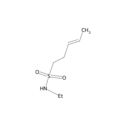 CC=CCCS(=O)(=O)NCC